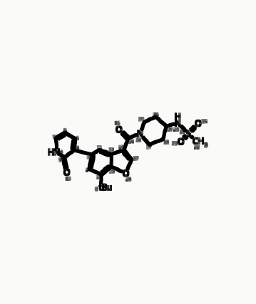 CC(C)(C)c1cc(-c2ccc[nH]c2=O)cc2c(C(=O)N3CCC(NS(C)(=O)=O)CC3)coc12